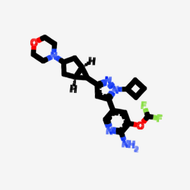 Nc1ncc(-c2cc(C3[C@H]4CC(N5CCOCC5)C[C@@H]34)nn2C2CCC2)cc1OC(F)F